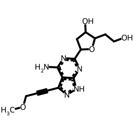 COCC#Cc1n[nH]c2nc(C3CC(O)C(CCO)O3)nc(N)c12